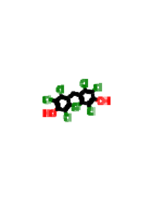 Oc1c(Cl)c(Cl)c(Cc2c(Cl)c(Cl)c(O)c(Cl)c2Cl)c(Cl)c1Cl